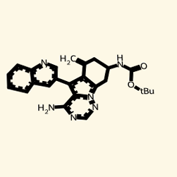 C=C1CC(NC(=O)OC(C)(C)C)Cc2c1c(-c1cnc3ccccc3c1)c1c(N)ncnn21